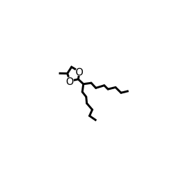 CCCCCCCC(CCCCCC)C1OCC(C)O1